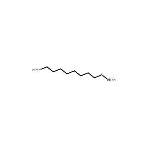 CCCCCCCCCCCCCCCCCCSCCCCCCCCC